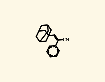 N#CC(=CC12CC3CC(CC(C3)C1)C2)c1ccccc1